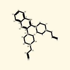 C=CCN1CCN(c2nc3ccccc3nc2N2CCN(CC=C)CC2)CC1